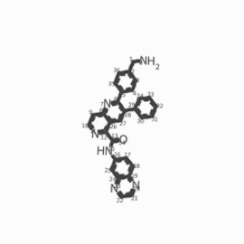 NCc1ccc(-c2nc3ccnc(C(=O)Nc4ccc5nccnc5c4)c3cc2-c2ccccc2)cc1